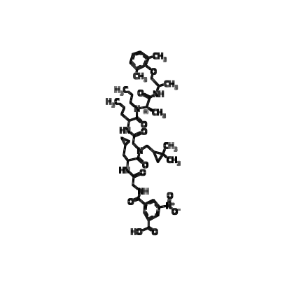 CCCC(NC(=O)CN(CC1CC1(C)C)C(=O)C(CC1CC1)NC(=O)CNC(=O)c1cc(C(=O)O)cc([N+](=O)[O-])c1)C(=O)N(CCC)[C@H](C)C(=O)NC(C)COc1c(C)cccc1C